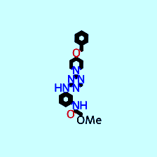 COCC(=O)Nc1cccc(Nc2ncnc(N3CCC(OCc4ccccc4)CC3)n2)c1